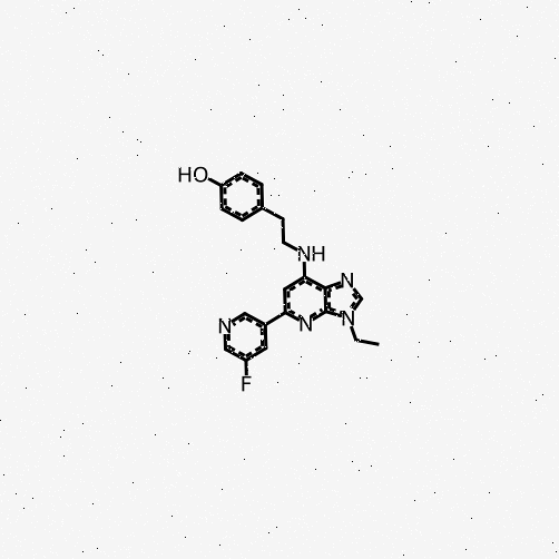 CCn1cnc2c(NCCc3ccc(O)cc3)cc(-c3cncc(F)c3)nc21